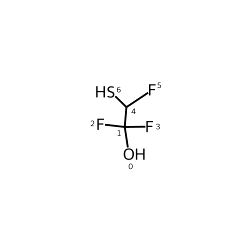 OC(F)(F)C(F)S